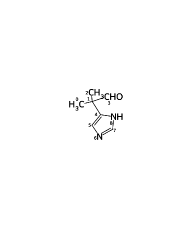 CC(C)(C=O)c1cnc[nH]1